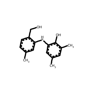 Cc1ccc(CO)c(Pc2cc(C)cc(C)c2O)c1